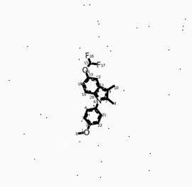 COc1ccc(-n2c(C)c(C)c3cc(OC(F)F)ccc32)cc1